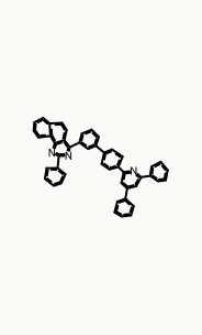 c1ccc(-c2cc(-c3ccccc3)nc(-c3ccc(-c4cccc(-c5nc(-c6ccccc6)nc6c5ccc5ccccc56)c4)cc3)c2)cc1